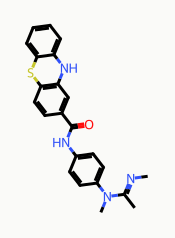 CN=C(C)N(C)c1ccc(NC(=O)c2ccc3c(c2)Nc2ccccc2S3)cc1